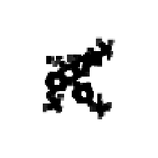 CN(c1ccc(OC(F)(F)F)cc1)c1[nH]c2nc(C(F)(F)F)nc-2nc1Nc1ccc(OC(F)(F)F)cc1